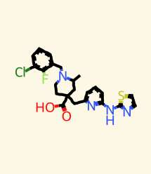 CC1CC(Cc2cccc(Nc3nccs3)n2)(C(=O)O)CCN1Cc1cccc(Cl)c1F